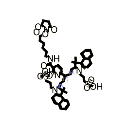 CC1(C)C(/C=C/C(=C/C=C2/N(CCCS(=O)(=O)O)c3ccc4ccccc4c3C2(C)C)c2ccc(C(=O)NCCCCCC(=O)ON3C(=O)CCC3=O)cn2)=[N+](CCCS(=O)(=O)O)c2ccc3ccccc3c21